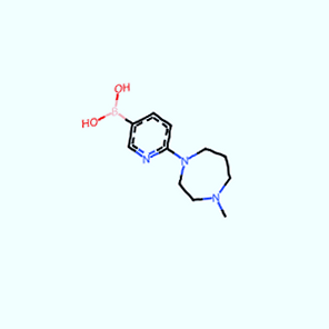 CN1CCCN(c2ccc(B(O)O)cn2)CC1